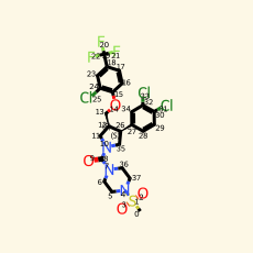 CS(=O)(=O)N1CCN(C(=O)N2C[C@@H](COc3ccc(C(F)(F)F)cc3Cl)[C@@H](c3ccc(Cl)c(Cl)c3)C2)CC1